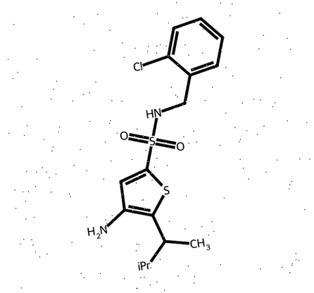 CC(C)C(C)c1sc(S(=O)(=O)NCc2ccccc2Cl)cc1N